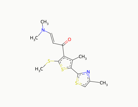 CSc1sc(-c2nc(C)cs2)c(C)c1C(=O)C=CN(C)C